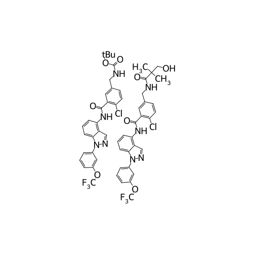 CC(C)(C)OC(=O)NCc1ccc(Cl)c(C(=O)Nc2cccc3c2cnn3-c2cccc(OC(F)(F)F)c2)c1.CC(C)(CO)C(=O)NCc1ccc(Cl)c(C(=O)Nc2cccc3c2cnn3-c2cccc(OC(F)(F)F)c2)c1